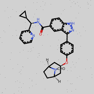 O=CN1[C@@H]2CC[C@H]1C[C@@H](Oc1ccc(-c3n[nH]c4ccc(C(=O)N[C@@H](c5ccccn5)C5CC5)cc34)cc1)C2